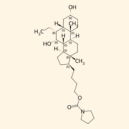 CC[C@H]1[C@@H](O)[C@@H]2[C@H](CC[C@]3(C)[C@@H](CCCCOC(=O)N4CCCC4)CC[C@@H]23)[C@@]2(C)CC[C@@H](O)C[C@@H]12